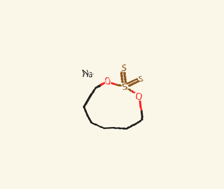 S=S1(=S)OCCCCCCO1.[Na]